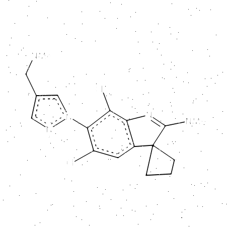 CNCc1cnn(-c2c(Cl)cc3c(c2Cl)N=C(NC)C32CCC2)c1